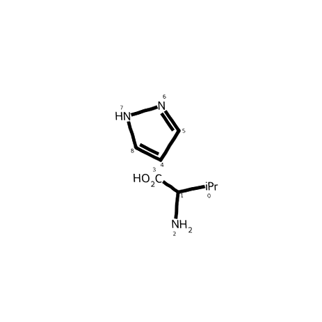 CC(C)C(N)C(=O)O.c1cn[nH]c1